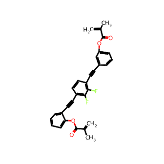 C=C(C)C(=O)Oc1cccc(C#Cc2ccc(C#Cc3ccccc3OC(=O)C(=C)C)c(F)c2F)c1